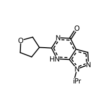 CC(C)n1ncc2c(=O)nc(C3CCOC3)[nH]c21